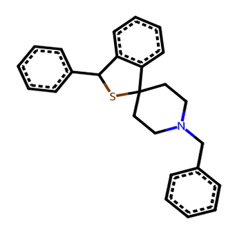 c1ccc(CN2CCC3(CC2)SC(c2ccccc2)c2ccccc23)cc1